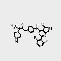 CN(C(=O)Cc1ccc(Nc2nc(-c3c(F)cccc3F)nc3c2C(=O)NC3)cc1)C1CCNCC1